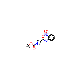 CC(C)(C)OC(=O)N1CC(CNc2ccccc2[N+](=O)[O-])C1